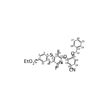 CCOC(=O)c1ccc(Sc2c(F)c(F)nc(Oc3cc(C#N)ccc3OCc3ccccc3)c2F)cc1